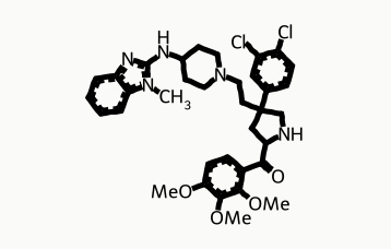 COc1ccc(C(=O)C2CC(CCN3CCC(Nc4nc5ccccc5n4C)CC3)(c3ccc(Cl)c(Cl)c3)CN2)c(OC)c1OC